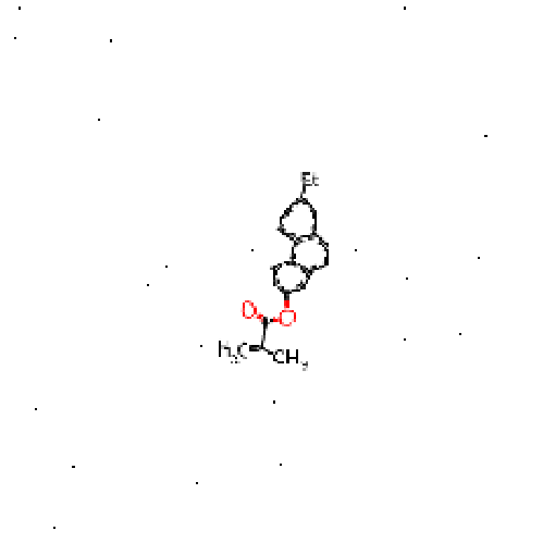 C=C(C)C(=O)Oc1ccc2c(ccc3cc(CC)ccc32)c1